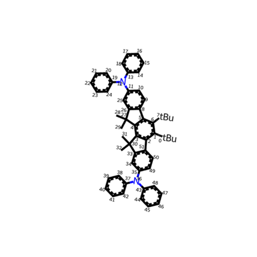 CC(C)(C)c1c2c(c3c(c1C(C)(C)C)-c1ccc(N(c4ccccc4)c4ccccc4)cc1C3(C)C)C(C)(C)c1cc(N(c3ccccc3)c3ccccc3)ccc1-2